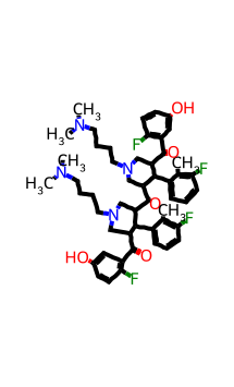 Cc1c(F)cccc1C1C(C(=O)c2cc(O)ccc2F)CN(CCCCN(C)C)CC1C(=O)C1CN(CCCCN(C)C)CC(C(=O)c2cc(O)ccc2F)C1c1cccc(F)c1C